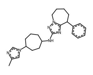 Cc1cn(C2CCCC(Nc3nc4n(n3)CCCCC4c3ccccc3)CC2)cn1